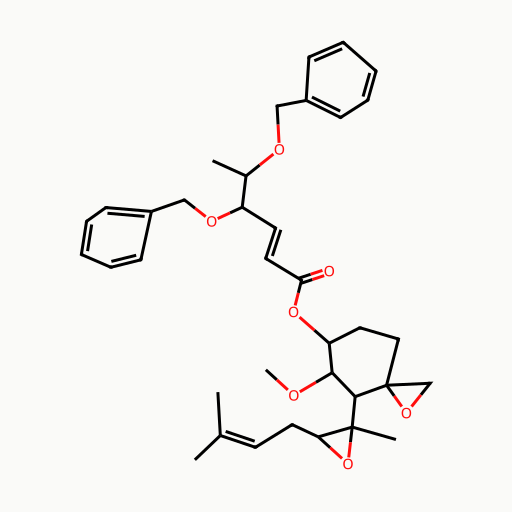 COC1C(OC(=O)C=CC(OCc2ccccc2)C(C)OCc2ccccc2)CCC2(CO2)C1C1(C)OC1CC=C(C)C